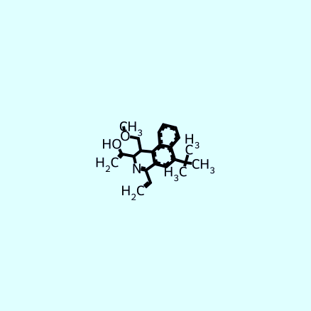 C=CC1=NC(C(=C)O)C(COC)c2c1cc(C(C)(C)C)c1ccccc21